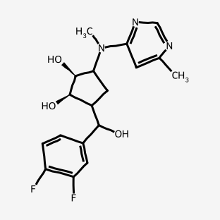 Cc1cc(N(C)C2CC(C(O)c3ccc(F)c(F)c3)[C@@H](O)[C@H]2O)ncn1